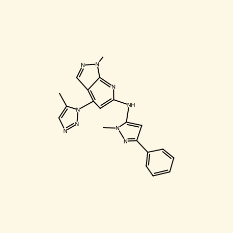 Cc1cnnn1-c1cc(Nc2cc(-c3ccccc3)nn2C)nc2c1cnn2C